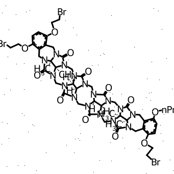 CCCOc1ccc(OCCBr)c2c1CN1C(=O)N3CN4C(=O)N5CN6C(=O)N7CN8C(=O)N9Cc%10c(OCCBr)ccc(OCCBr)c%10CN%10C(=O)N(CN%11C(=O)N(CN%12C(=O)N(CN%13C(=O)N(C2)[C@@]1(C)[C@]3%13C)[C@H]4[C@H]5%12)[C@H]6[C@H]7%11)[C@@]8(C)[C@]9%10C